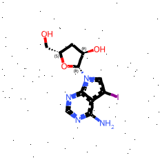 Nc1ncnc2c1c(I)cn2[C@@H]1O[C@H](CO)C[C@H]1O